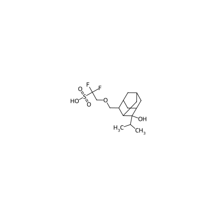 CC(C)C1(O)C2CC3CC(C2)C(COCC(F)(F)S(=O)(=O)O)C1C3